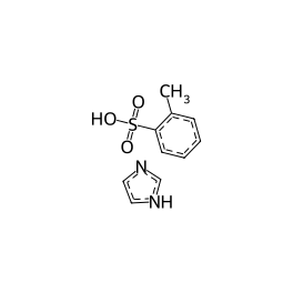 Cc1ccccc1S(=O)(=O)O.c1c[nH]cn1